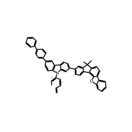 C=C/C=C\C(=C/C)n1c2ccc(-c3ccc(-c4ccccc4)cc3)cc2c2ccc(-c3ccc4c(c3)C(C)(C)c3ccc5c(oc6ccccc65)c3-4)cc21